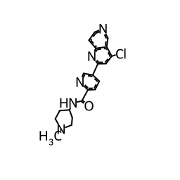 CN1CCC(NC(=O)c2ccc(-c3cc(Cl)c4cnccc4n3)cn2)CC1